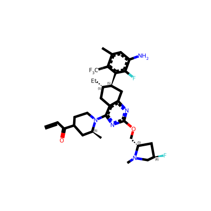 C=CC(=O)C1CCN(c2nc(OC[C@@H]3C[C@@H](F)CN3C)nc3c2C[C@H](CC)[C@@H](c2c(F)c(N)cc(C)c2C(F)(F)F)C3)[C@@H](C)C1